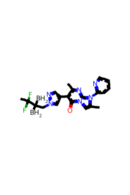 BC(B)(Cn1cc(-c2c(C)nc3n(-c4ccccn4)c(C)cn3c2=O)cn1)C(C)(F)F